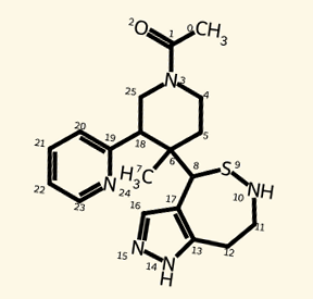 CC(=O)N1CCC(C)(C2SNCCc3[nH]ncc32)C(c2ccccn2)C1